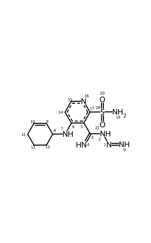 N=NNC(=N)c1c(NC2C=CCCC2)ccnc1S(N)(=O)=O